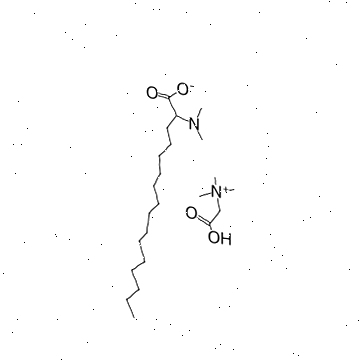 CCCCCCCCCCCCCCC(C(=O)[O-])N(C)C.C[N+](C)(C)CC(=O)O